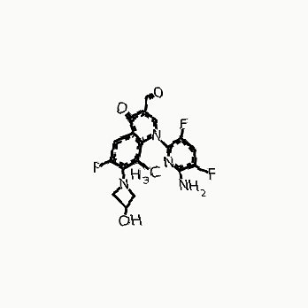 Cc1c(N2CC(O)C2)c(F)cc2c(=O)c(C=O)cn(-c3nc(N)c(F)cc3F)c12